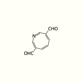 O=CC1=CC=CC(C=O)=CN=C1